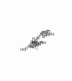 COc1nc(CN2CCN(C3CC4(CCN(c5ccc(C(=O)NS(=O)(=O)c6ccc(NCC7CCC(C)(O)CC7)c([N+](=O)[O-])c6)c(N6c7cc8cc[nH]c8nc7O[C@H]7COCC[C@@H]76)c5)CC4)C3)[C@@H](c3ccccc3OC(C)C)C2)cc2cc(C)oc12